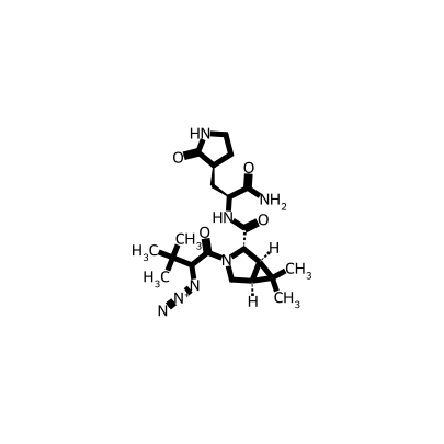 CC(C)(C)C(N=[N+]=[N-])C(=O)N1C[C@H]2[C@@H]([C@H]1C(=O)N[C@@H](C[C@@H]1CCNC1=O)C(N)=O)C2(C)C